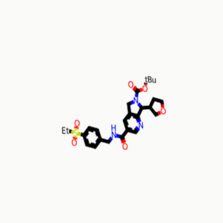 CCS(=O)(=O)c1ccc(CNC(=O)c2cnc3c(c2)CN(C(=O)OC(C)(C)C)C3C2CCOC2)cc1